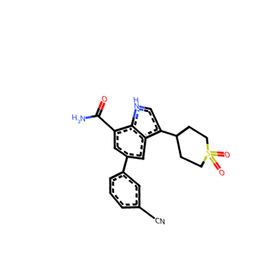 N#Cc1cccc(-c2cc(C(N)=O)c3[nH]cc(C4CCS(=O)(=O)CC4)c3c2)c1